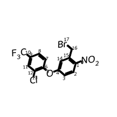 O=[N+]([O-])c1ccc(Oc2ccc(C(F)(F)F)cc2Cl)cc1CBr